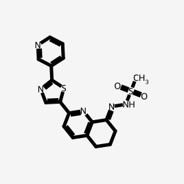 CS(=O)(=O)N/N=C1\CCCc2ccc(-c3cnc(-c4cccnc4)s3)nc21